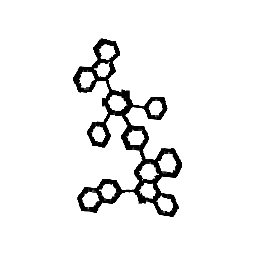 c1ccc(-c2nc(-c3cc4ccccc4c4ccccc34)nc(-c3ccccc3)c2-c2ccc(-c3cc4c(-c5ccc6ccccc6c5)nc5ccccc5c4c4ccccc34)cc2)cc1